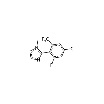 Cn1ccnc1-c1c(F)cc(Cl)cc1C(F)(F)F